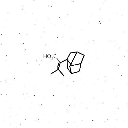 CC(C)=C(C(=O)O)C12CC3CC(CC(C3)C1)C2